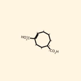 O=C(O)C1=CCCCC(C(=O)O)CC1